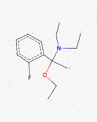 [CH2]C(OCC)(c1ccccc1F)N(CC)CC